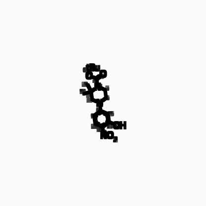 CC(C)(C)OC(=O)N1CCN(c2ccc([N+](=O)[O-])c(O)c2)CC1(C)C